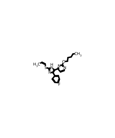 C/C=C\Sc1nc(-c2ccc(F)cc2)c(-c2ccnc(OCCCCC)n2)[nH]1